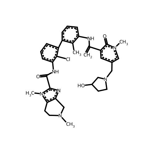 C=C(Nc1cccc(-c2cccc(NC(=O)c3nc4c(n3C)CCN(C)C4)c2Cl)c1C)c1cc(CN2CCC(O)C2)cn(C)c1=O